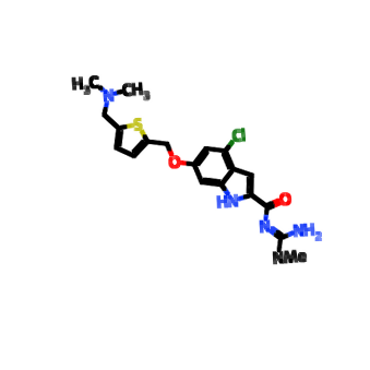 CNC(N)=NC(=O)c1cc2c(Cl)cc(OCc3ccc(CN(C)C)s3)cc2[nH]1